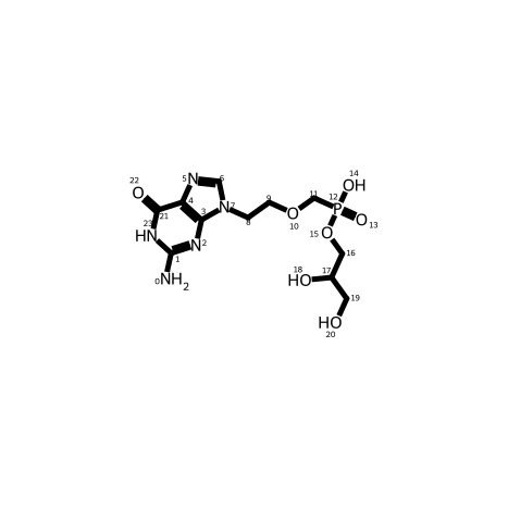 Nc1nc2c(ncn2CCOCP(=O)(O)OCC(O)CO)c(=O)[nH]1